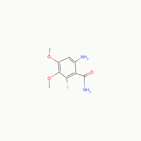 COc1cc(N)c(C(N)=O)c(F)c1OC